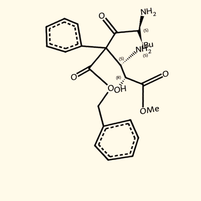 CC[C@H](C)[C@H](N)C(=O)C(C(=O)OCc1ccccc1)(c1ccccc1)[C@H](N)[C@@H](O)C(=O)OC